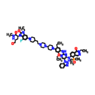 CCOc1cc(N2CCC(N3CCN(CCC4CCN(c5cc(F)c6c(c5)n(CC)c(=O)n6C(CCC=O)C(=O)NC)CC4)CC3)CC2)c(CC)cc1Nc1ncc(-n2nnc3ccccc32)c(Nc2ccc3c(=O)n(CC)ncc3c2P(C)(C)=O)n1